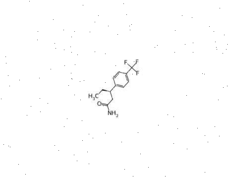 CC[C@H](CC(N)=O)c1ccc(C(F)(F)F)cc1